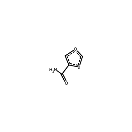 NC(=O)c1bcoc1